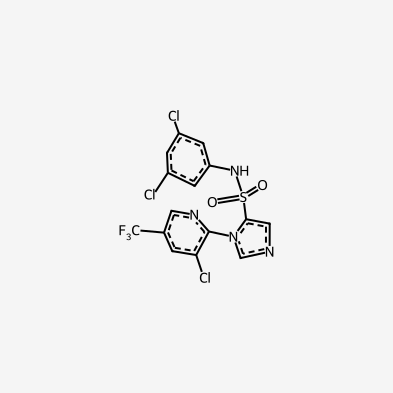 O=S(=O)(Nc1cc(Cl)cc(Cl)c1)c1cncn1-c1ncc(C(F)(F)F)cc1Cl